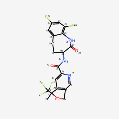 CC1(C(F)(F)F)OCc2cnc(C(=O)N[C@H]3CCc4cc(F)cc(F)c4NC3=O)cc21